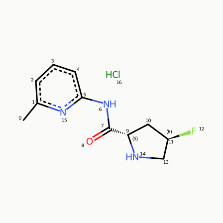 Cc1cccc(NC(=O)[C@@H]2C[C@@H](F)CN2)n1.Cl